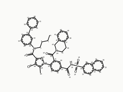 CCCCN(C(=O)c1nn(-c2ccc(C(=O)NS(=O)(=O)c3ccc4ccccc4c3)cc2C(=O)N2CCc3ccccc3C2)c(C)c1Cl)c1cccc(-c2ccccc2)c1